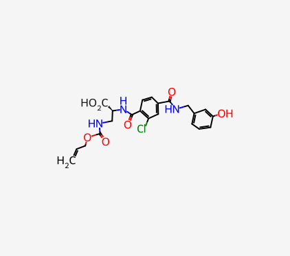 C=CCOC(=O)NC[C@H](NC(=O)c1ccc(C(=O)NCc2cccc(O)c2)cc1Cl)C(=O)O